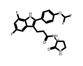 O=C(CCc1c(-c2ccc(OC(F)F)cc2)[nH]c2c(F)cc(F)cc12)N[C@H]1CCNC1=O